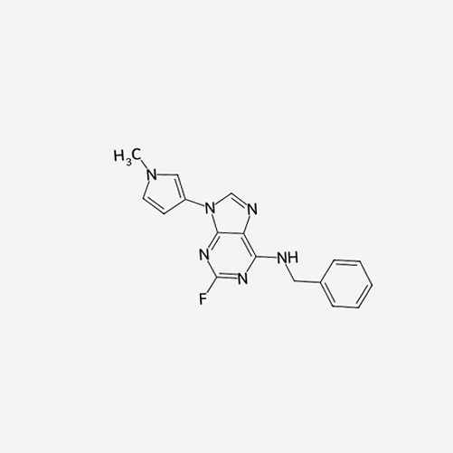 Cn1ccc(-n2cnc3c(NCc4ccccc4)nc(F)nc32)c1